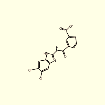 O=C(Nc1nc2cc(Cl)c(Cl)cc2[nH]1)c1cccc([N+](=O)[O-])c1